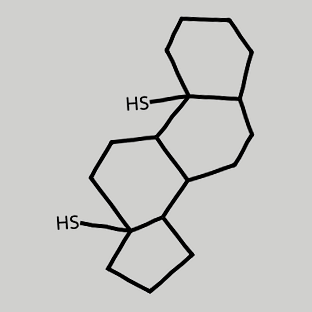 SC12CCCC1C1CCC3CCCCC3(S)C1CC2